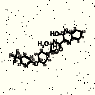 C[C@H](NC(=O)c1nc2ccccc2nc1O)C(=O)N1CCC(Oc2ccc(C(F)(F)F)cn2)CC1